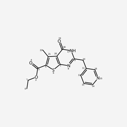 CCOC(=O)c1sc2nc(Cc3cccnc3)[nH]c(=O)c2c1C